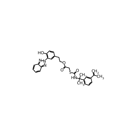 C=C(C)c1cccc(C(C)(C)NC(=O)SCC(=O)OCCc2ccc(O)c(-n3nc4ccccc4n3)c2)c1